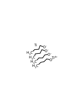 CCCC[O-].CCCC[O-].CCCC[O-].CCCC[O-].[Ti+4].[Ti]